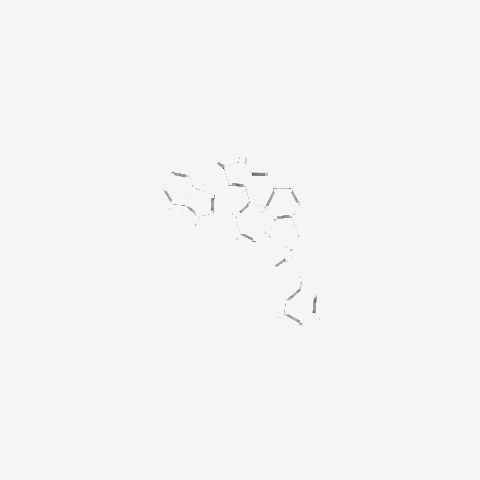 O=C1NC(=O)C(c2cnc3ccccn23)=C1C1=NC=CN2c3c(cccc31)CC2C(=O)Oc1ccccc1